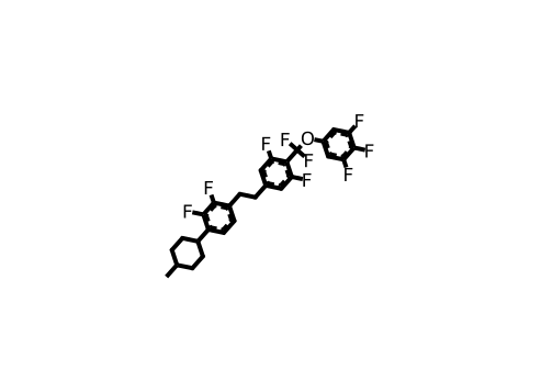 CC1CCC(c2ccc(CCc3cc(F)c(C(F)(F)Oc4cc(F)c(F)c(F)c4)c(F)c3)c(F)c2F)CC1